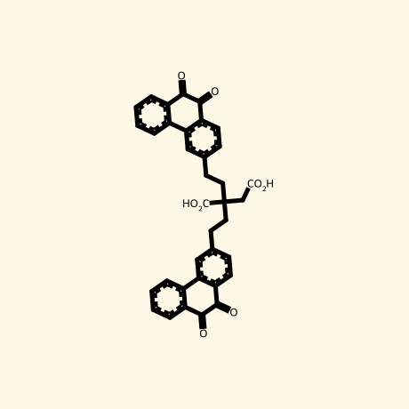 O=C(O)CC(CCc1ccc2c(c1)-c1ccccc1C(=O)C2=O)(CCc1ccc2c(c1)-c1ccccc1C(=O)C2=O)C(=O)O